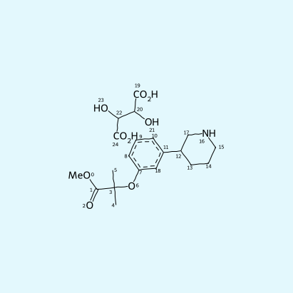 COC(=O)C(C)(C)Oc1cccc(C2CCCNC2)c1.O=C(O)C(O)C(O)C(=O)O